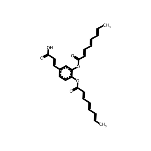 CC=CC=CC=CC(=O)Oc1ccc(C=CC(=O)O)cc1OC(=O)C=CC=CC=CC